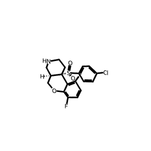 O=S(=O)(c1ccc(Cl)cc1)[C@@]12CCNC[C@@H]1COc1c(F)ccc(F)c12